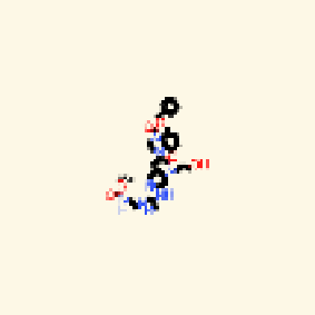 Cc1cccc2c1N(C(=O)OCc1ccccc1)CCN2c1cc2cnc(Nc3cnn(CCNC(=O)OC(C)(C)C)c3)cc2n(CCCO)c1=O